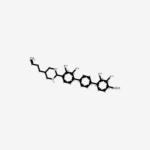 C=CCCC1COC(c2ccc(-c3ccc(-c4ccc(CCCCCCCC)c(F)c4F)cc3)c(F)c2F)OC1